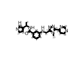 CC(NC(=O)c1cccc(NCc2nnc(-c3ccncn3)n2C)c1)c1ccn[nH]1